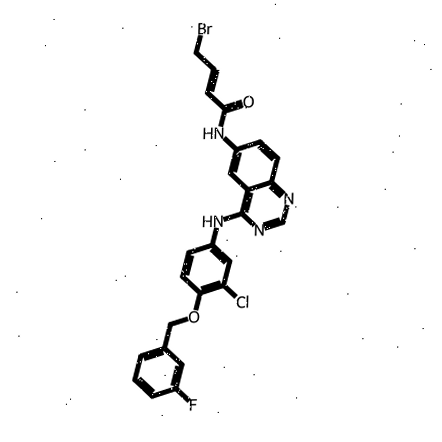 O=C(C=CCBr)Nc1ccc2ncnc(Nc3ccc(OCc4cccc(F)c4)c(Cl)c3)c2c1